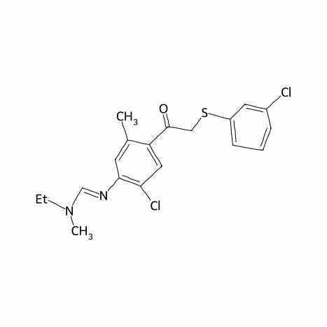 CCN(C)C=Nc1cc(C)c(C(=O)CSc2cccc(Cl)c2)cc1Cl